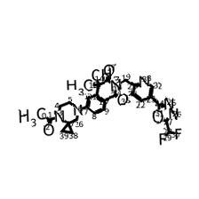 CC(=O)N1CCN(c2ccc3c(c2)C(C)(C)C(=O)N(Cc2ccc(-c4nnc(C(F)F)o4)cn2)C3=O)CC12CC2